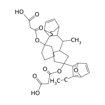 CCc1c(C2(OC(=O)CC(=O)O)CCC(C(C)C3C4C=CC(S4)C3C3(OC(=O)CC(=O)O)CCCC3)C2)c2ccc1o2